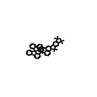 CC1(C)CC(C)(C)c2cc3c(cc21)-c1cc(-c2ccccc2N(c2ccccc2)c2cccc4c2C2(c5ccccc5-c5ccccc52)c2ccccc2-4)ccc1C3(C)C